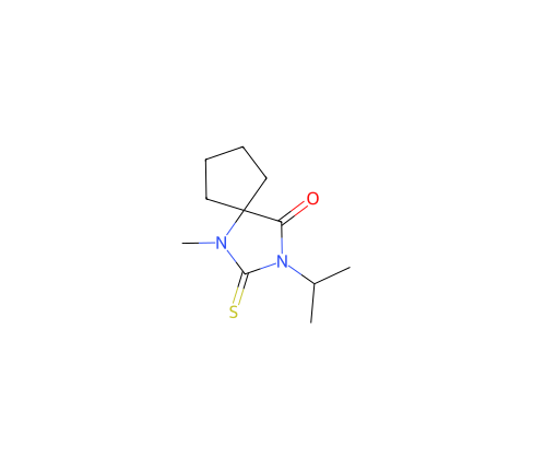 CC(C)N1C(=O)C2(CCCC2)N(C)C1=S